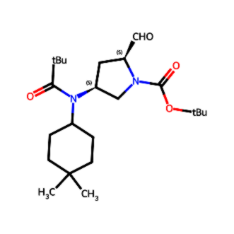 CC1(C)CCC(N(C(=O)C(C)(C)C)[C@H]2C[C@@H](C=O)N(C(=O)OC(C)(C)C)C2)CC1